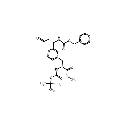 C=CC[C@H](NC(=O)OCc1ccccc1)c1cccc(CC(NC(=O)OC(C)(C)C)C(=O)OC)c1